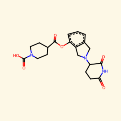 O=C1CCC(N2Cc3cccc(OC(=O)C4CCN(C(=O)O)CC4)c3C2)C(=O)N1